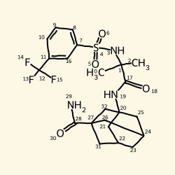 CC(C)(NS(=O)(=O)c1cccc(C(F)(F)F)c1)C(=O)NC12CC3CC(C1)CC(C(N)=O)(C3)C2